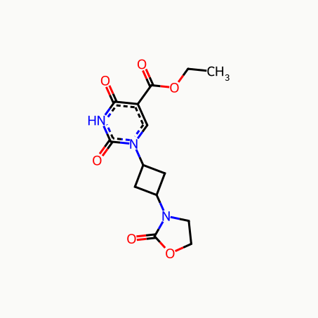 CCOC(=O)c1cn(C2CC(N3CCOC3=O)C2)c(=O)[nH]c1=O